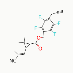 C#CCc1c(F)c(F)c(COC(=O)C2C(C=C(C)C#N)C2(C)C)c(F)c1F